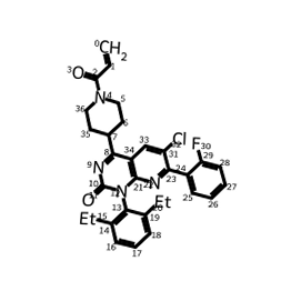 C=CC(=O)N1CCC(c2nc(=O)n(-c3c(CC)cccc3CC)c3nc(-c4ccccc4F)c(Cl)cc23)CC1